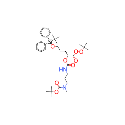 CN(CCCNC(=O)O[C@@H](CCCO[Si](c1ccccc1)(c1ccccc1)C(C)(C)C)C(=O)OOC(C)(C)C)C(=O)OC(C)(C)C